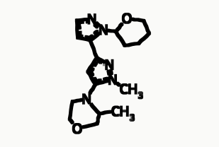 CC1COCCN1c1cc(-c2ccnn2C2CCCCO2)nn1C